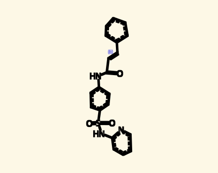 O=C(/C=C/c1ccccc1)Nc1ccc(S(=O)(=O)Nc2ccccn2)cc1